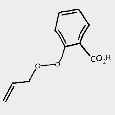 C=CCOOc1ccccc1C(=O)O